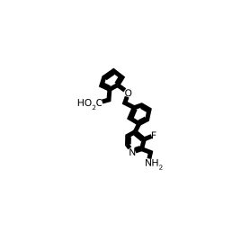 NCc1nccc(-c2cccc(COc3ccccc3CC(=O)O)c2)c1F